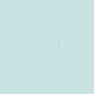 Cl.O=C(O)C1CCc2cccc3ncn1c23